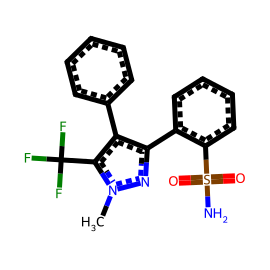 Cn1nc(-c2ccccc2S(N)(=O)=O)c(-c2ccccc2)c1C(F)(F)F